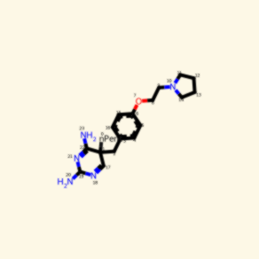 CCCCCC1(Cc2ccc(OCCN3CCCC3)cc2)C=NC(N)N=C1N